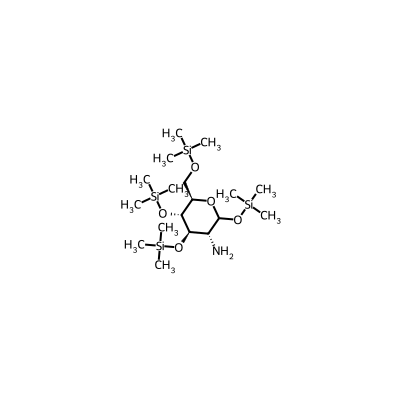 C[Si](C)(C)OC[C@H]1OC(O[Si](C)(C)C)[C@H](N)[C@@H](O[Si](C)(C)C)[C@@H]1O[Si](C)(C)C